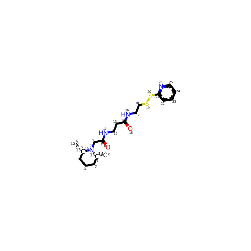 [13CH3][13C@@H]1CCC[13C@H]([13CH3])[15N]1CC(=O)NCCC(=O)NCCSSc1ccccn1